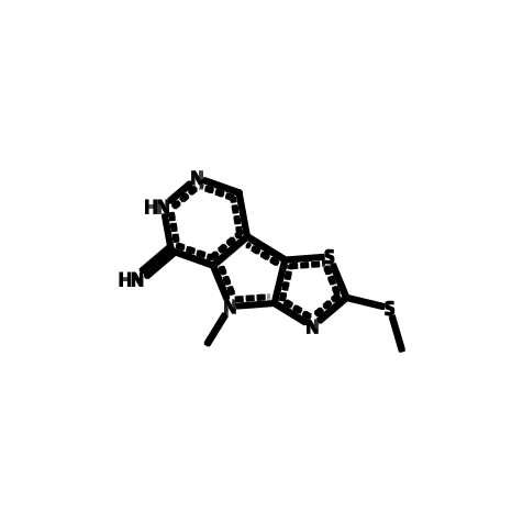 CSc1nc2c(s1)c1cn[nH]c(=N)c1n2C